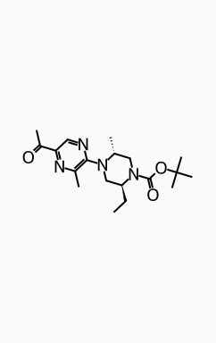 CC[C@H]1CN(c2ncc(C(C)=O)nc2C)[C@H](C)CN1C(=O)OC(C)(C)C